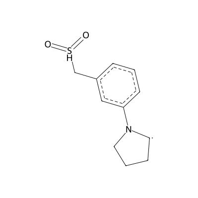 O=[SH](=O)Cc1cccc(N2[CH]CCC2)c1